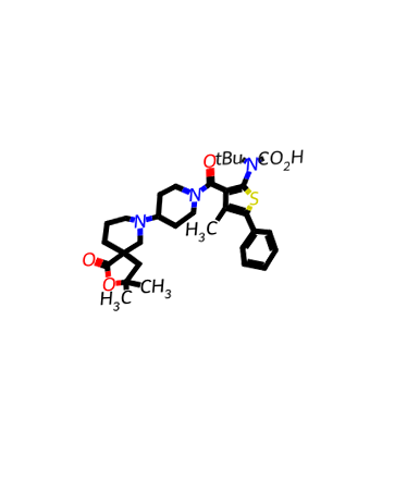 Cc1c(-c2ccccc2)sc(N(C(=O)O)C(C)(C)C)c1C(=O)N1CCC(N2CCCC3(C2)CC(C)(C)OC3=O)CC1